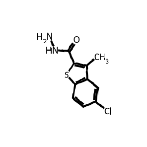 Cc1c(C(=O)NN)sc2ccc(Cl)cc12